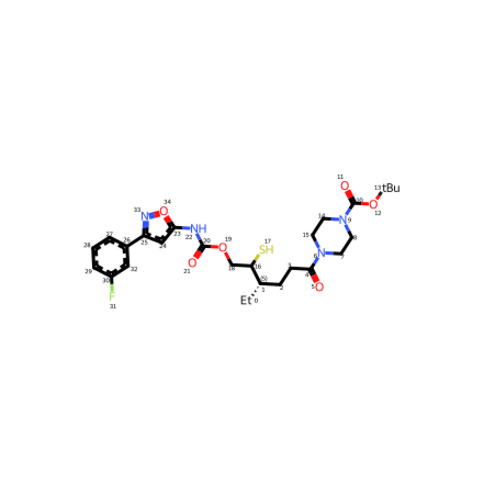 CC[C@@H](CCC(=O)N1CCN(C(=O)OC(C)(C)C)CC1)C(S)COC(=O)Nc1cc(-c2cccc(F)c2)no1